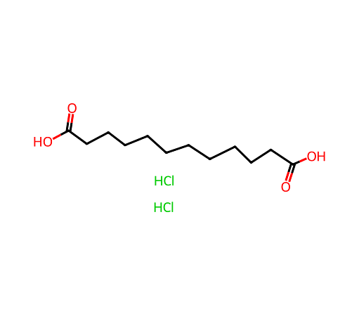 Cl.Cl.O=C(O)CCCCCCCCCCC(=O)O